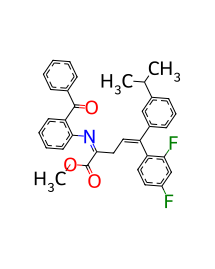 COC(=O)C(CC=C(c1cccc(C(C)C)c1)c1ccc(F)cc1F)=Nc1ccccc1C(=O)c1ccccc1